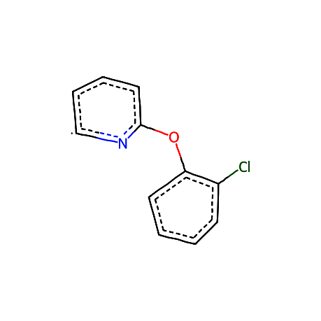 Clc1ccccc1Oc1ccc[c]n1